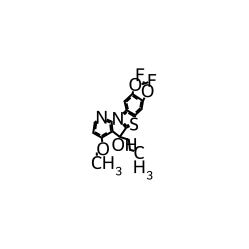 CCCC(O)(c1nc2cc3c(cc2s1)OC(F)(F)O3)c1cnccc1OCC